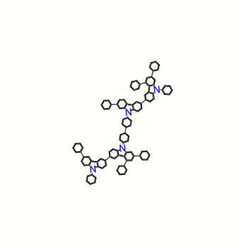 c1ccc(-c2ccc3c(c2)c2cc(-c4ccc5c(c4)c4c(-c6ccccc6)cc(-c6ccccc6)cc4n5-c4ccc(-c5ccc(-n6c7ccc(-c8ccc9c(c8)c8c(-c%10ccccc%10)cc(-c%10ccccc%10)cc8n9-c8ccccc8)cc7c7ccc(-c8ccccc8)cc76)cc5)cc4)ccc2n3-c2ccccc2)cc1